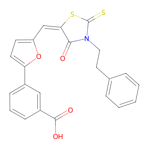 O=C(O)c1cccc(-c2ccc(C=C3SC(=S)N(CCc4ccccc4)C3=O)o2)c1